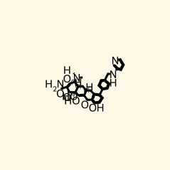 CN(C)[C@H]1C(O)=C(C(N)=O)C(=O)[C@]2(O)C(O)=C3C(=O)c4c(O)ccc(-c5ccc(CNc6cccnc6)cc5)c4C[C@@H]3C[C@H]12